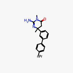 CCCc1ccc(-c2cccc(C3(C)CC(=O)N(C)C(N)=N3)c2)cc1